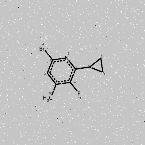 Cc1cc(Br)nc(C2CC2)c1F